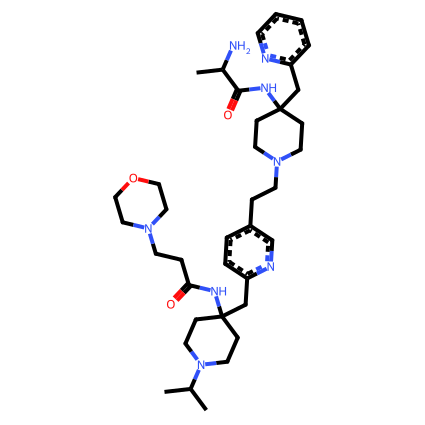 CC(N)C(=O)NC1(Cc2ccccn2)CCN(CCc2ccc(CC3(NC(=O)CCN4CCOCC4)CCN(C(C)C)CC3)nc2)CC1